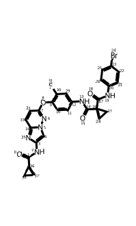 O=C(Nc1cn2nc(Oc3ccc(NC(=O)C4(C(=O)Nc5ccc(Br)cc5)CC4)cc3F)ccc2n1)C1CC1